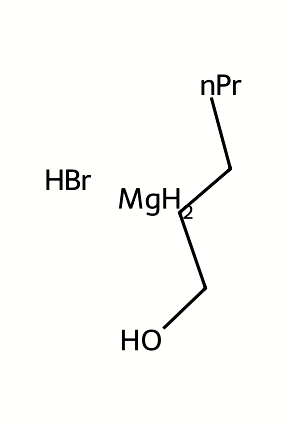 Br.CCCCCCO.[MgH2]